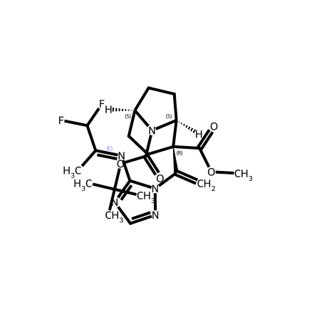 C=C(n1ncnc1/N=C(\C)C(F)F)[C@@]1(C(=O)OC)CC[C@H]2CC[C@@H]1N2C(=O)OC(C)(C)C